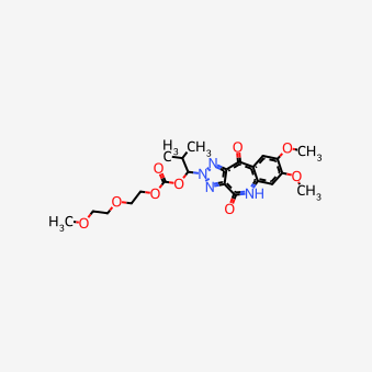 COCCOCCOC(=O)OC(C(C)C)n1nc2c(=O)[nH]c3cc(OC)c(OC)cc3c(=O)c2n1